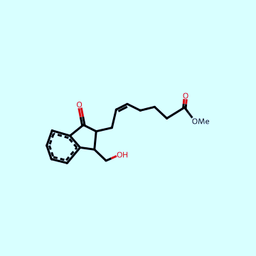 COC(=O)CCC/C=C\CC1C(=O)c2ccccc2C1CO